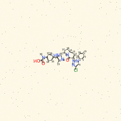 Cc1ccc(-n2cc(Cl)nn2)c(-c2cc3n(c(=O)c2)[C@H](c2nc(C)c(-c4ccc(N(C)C(=O)O)cc4)[nH]2)CC3)c1